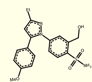 CCc1cc(-c2ccc(OC)cc2)n(-c2ccc(S(N)(=O)=O)c(CO)c2)n1